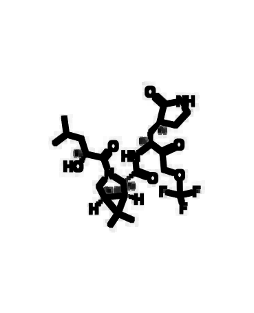 CC(C)C[C@@H](O)C(=O)N1C[C@H]2[C@@H]([C@H]1C(=O)N[C@@H](C[C@@H]1CCNC1=O)C(=O)COC(F)(F)F)C2(C)C